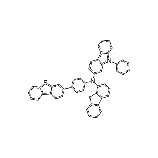 c1ccc(-n2c3ccccc3c3ccc(N(c4ccc(-c5ccc6c(c5)sc5ccccc56)cc4)c4cccc5c4Cc4ccccc4-5)cc32)cc1